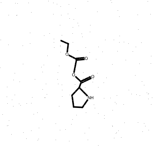 CCOC(=O)OC(=O)C1CCCN1